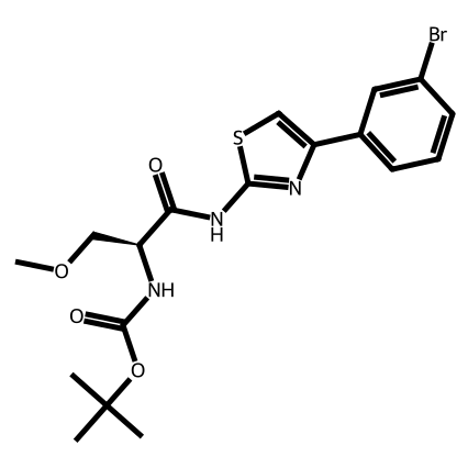 COC[C@H](NC(=O)OC(C)(C)C)C(=O)Nc1nc(-c2cccc(Br)c2)cs1